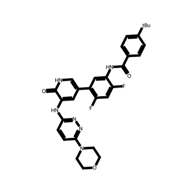 CC(C)(C)c1ccc(C(=O)Nc2cc(-c3c[nH]c(=O)c(Nc4ccc(N5CCOCC5)nn4)c3)c(F)cc2F)cc1